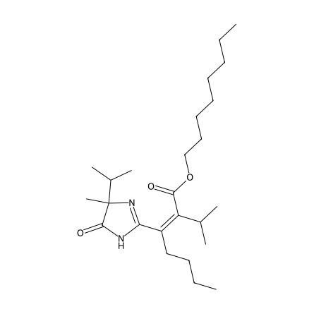 CCCCCCCCOC(=O)C(=C(CCCC)C1=NC(C)(C(C)C)C(=O)N1)C(C)C